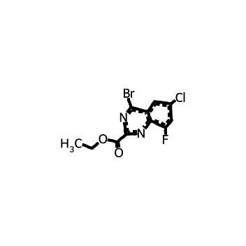 CCOC(=O)c1nc(Br)c2cc(Cl)cc(F)c2n1